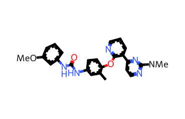 CNc1nccc(-c2cccnc2Oc2ccc(NC(=O)Nc3cccc(OC)c3)cc2C)n1